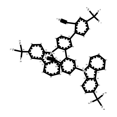 N#Cc1cc(C(F)(F)F)ccc1-c1ccc(-n2c3ccccc3c3cc(C(F)(F)F)ccc32)c(-c2cc(-n3c4ccccc4c4cc(C(F)(F)F)ccc43)ccc2C#N)c1